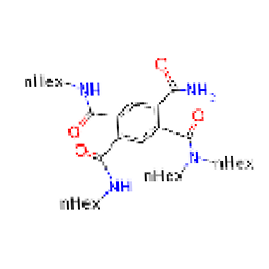 CCCCCCNC(=O)c1cc(C(N)=O)c(C(=O)N(CCCCCC)CCCCCC)cc1C(=O)NCCCCCC